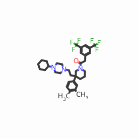 Cc1ccc(C2(CCN3CCN(C4CCCCC4)CC3)CCCN(C(=O)Cc3cc(C(F)(F)F)cc(C(F)(F)F)c3)C2)cc1C